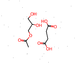 CC(=O)OCC(O)CO.O=C(O)CCC(=O)O